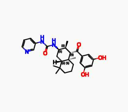 C[C@@H]1[C@H](NC(=O)Nc2cccnc2)C[C@H]2C(C)(C)CCC[C@]2(C)[C@H]1C(=O)c1cc(O)cc(O)c1